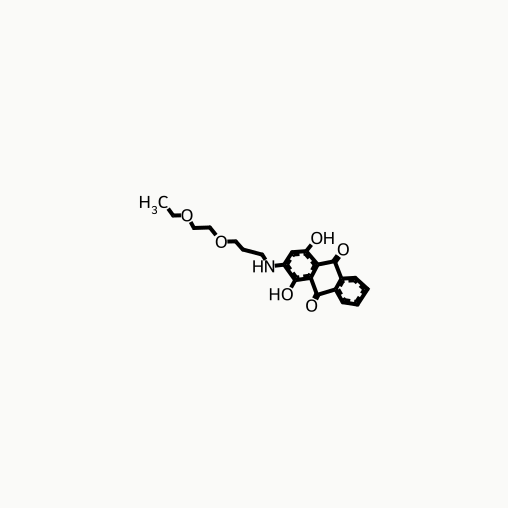 CCOCCOCCCNc1cc(O)c2c(c1O)C(=O)c1ccccc1C2=O